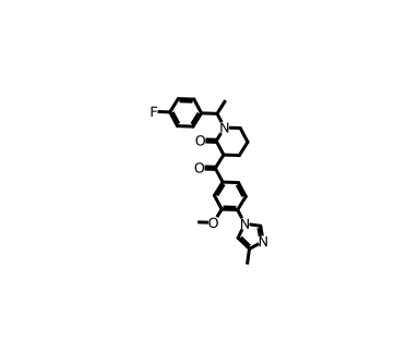 COc1cc(C(=O)C2CCCN(C(C)c3ccc(F)cc3)C2=O)ccc1-n1cnc(C)c1